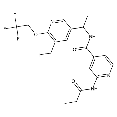 CCC(=O)Nc1cc(C(=O)NC(C)c2cnc(OCC(F)(F)F)c(CI)c2)ccn1